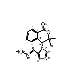 CC1(C)OC(=O)c2ccccc2C1n1cncc1C=NO